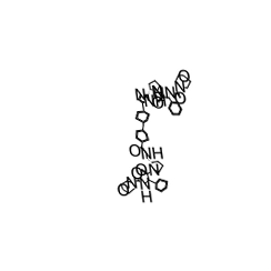 O=C(NC[C@@H]1CCCN1C(=O)[C@H](NC(=O)N1CCOCC1)c1ccccc1)c1ccc(-c2ccc(-c3cnc([C@@H]4CCCN4C(=O)[C@H](NC(=O)N4CCOCC4)c4ccccc4)[nH]3)cc2)cc1